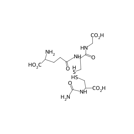 NC(=O)NC(CS)C(=O)O.NC(CCC(=O)NC(CS)C(=O)NCC(=O)O)C(=O)O